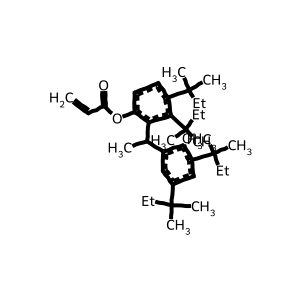 C=CC(=O)Oc1ccc(C(C)(C)CC)c(C(C)(C)CC)c1C(C)c1cc(C(C)(C)CC)cc(C(C)(C)CC)c1O